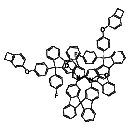 Fc1ccc(C2(c3ccc(Oc4ccc5c(c4)CC5)cc3)c3ccccc3-c3ccc(N(c4ccc5c(c4)C4(c6ccccc6-5)c5ccccc5-c5ccc(N(c6ccc7c(c6)C(c6ccc(F)cc6)(c6ccc(Oc8ccc9c(c8)CC9)cc6)c6ccccc6-7)c6ccc7oc8ccccc8c7c6)cc54)c4ccc5oc6ccccc6c5c4)cc32)cc1